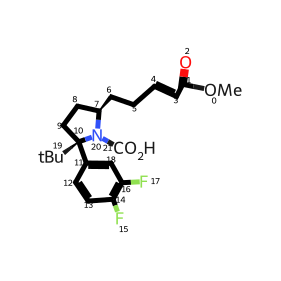 COC(=O)C=CCC[C@@H]1CC[C@](c2ccc(F)c(F)c2)(C(C)(C)C)N1C(=O)O